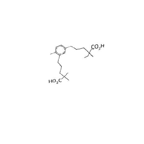 Cc1ccc(CCCC(C)(C)C(=O)O)cc1CCCC(C)(C)C(=O)O